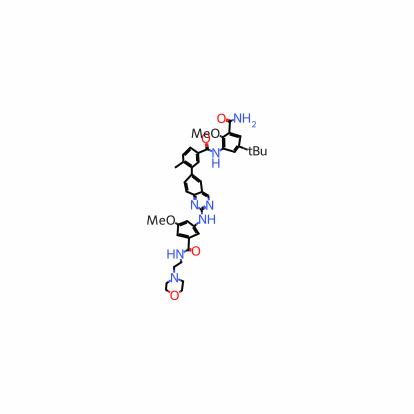 COc1cc(Nc2ncc3cc(-c4cc(C(=O)Nc5cc(C(C)(C)C)cc(C(N)=O)c5OC)ccc4C)ccc3n2)cc(C(=O)NCCN2CCOCC2)c1